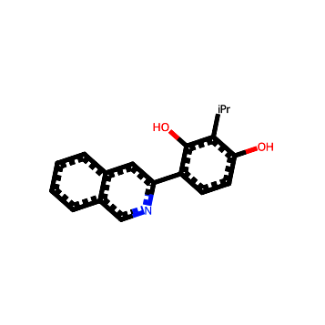 CC(C)c1c(O)ccc(-c2cc3ccccc3cn2)c1O